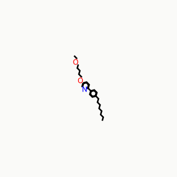 CCCCCCCCc1ccc(-c2ccc(OCCCCCOCC)cn2)cc1